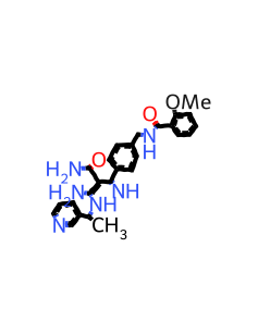 COc1ccccc1C(=O)NCc1ccc(C(=N)/C(C(N)=O)=C(/N)NC(C)c2cccnc2)cc1